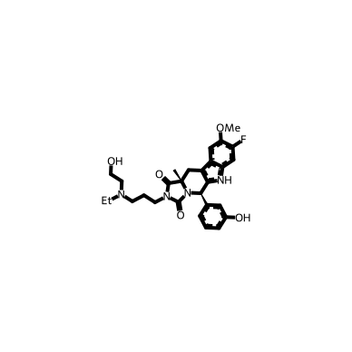 CCN(CCO)CCCN1C(=O)N2[C@H](c3cccc(O)c3)c3[nH]c4cc(F)c(OC)cc4c3C[C@@]2(C)C1=O